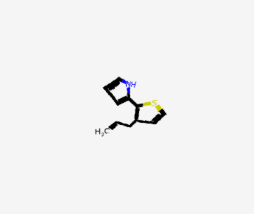 C=CCc1ccsc1-c1ccc[nH]1